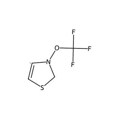 FC(F)(F)ON1[C]=CSC1